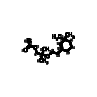 CCC(=O)OCC(C)(C)OCCC1=CC(C)(C)CCC1